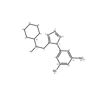 CN(Cc1nnnn1-c1cc(C#N)cc([N+](=O)[O-])c1)C1CCCCC1